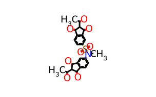 CC(=O)C1C(=O)c2ccc(N(C)S(=O)(=O)c3ccc4c(c3)C(=O)C(C(C)=O)C4=O)cc2C1=O